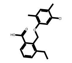 CCc1cccc(C(=O)O)c1COc1cc(Cl)c(C)cc1C